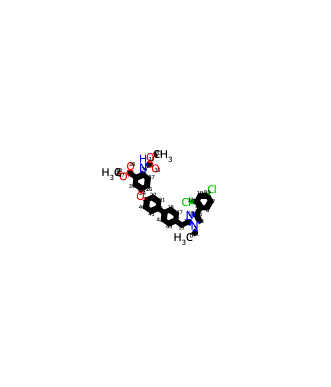 CCn1cc(-c2ccc(Cl)cc2Cl)nc1Cc1ccc(-c2ccc(Oc3ccc(NC(=O)OC)c(C(=O)OC)c3)cc2)cc1